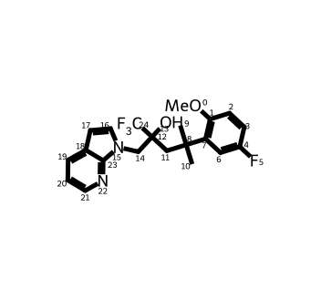 COc1ccc(F)cc1C(C)(C)CC(O)(Cn1ccc2cccnc21)C(F)(F)F